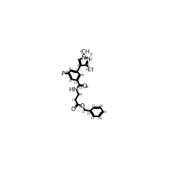 CCc1nn(C)cc1-c1cc(F)cc(C(=O)NCCC(=O)OCc2ccccc2)c1